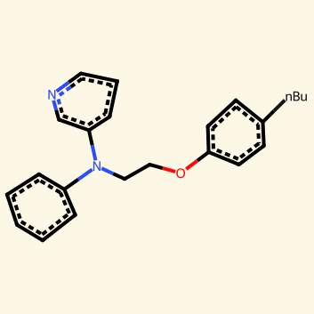 CCCCc1ccc(OCCN(c2ccccc2)c2cccnc2)cc1